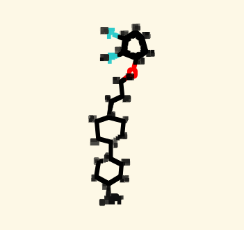 CCC[C@H]1CC[C@H]([C@H]2CC[C@H](CCCOc3cccc(F)c3F)CC2)CC1